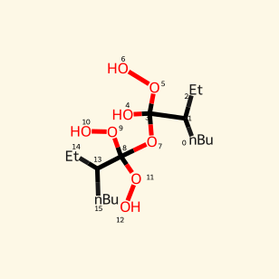 CCCCC(CC)C(O)(OO)OC(OO)(OO)C(CC)CCCC